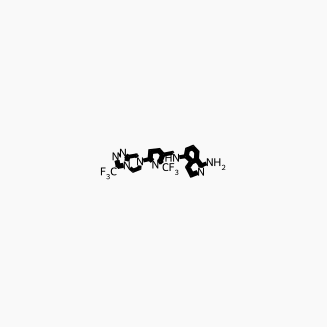 Nc1nccc2c(NCc3ccc(N4CCn5c(nnc5C(F)(F)F)C4)nc3C(F)(F)F)cccc12